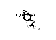 CC(=O)OC1CCC(C)(C)CC1=O